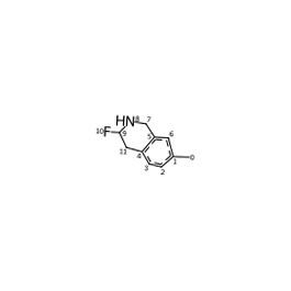 Cc1ccc2c(c1)CNC(F)C2